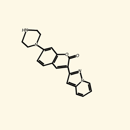 O=c1oc2cc(N3CCNCC3)ccc2cc1-c1cc2ccccn2n1